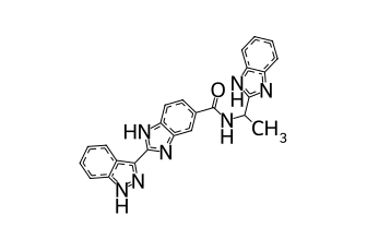 CC(NC(=O)c1ccc2[nH]c(-c3n[nH]c4ccccc34)nc2c1)c1nc2ccccc2[nH]1